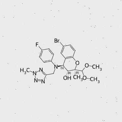 COC(OC)[C@]1(C)Oc2ccc(Br)cc2[C@H](N(Cc2nnn(C)n2)c2ccc(F)cc2)[C@H]1O